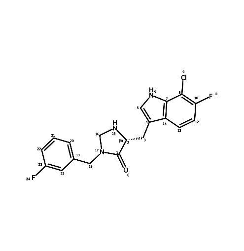 O=C1[C@@H](Cc2c[nH]c3c(Cl)c(F)ccc23)NCN1Cc1cccc(F)c1